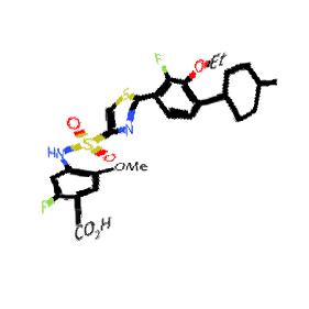 CCOc1c(C2CCC(C)CC2)ccc(-c2nc(S(=O)(=O)Nc3cc(F)c(C(=O)O)cc3OC)cs2)c1F